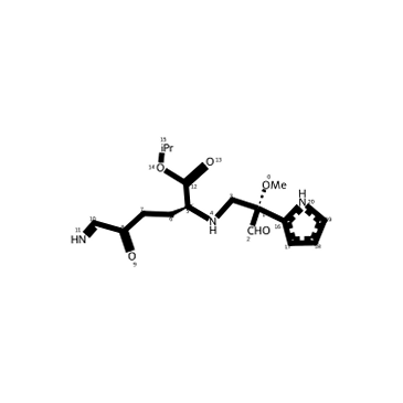 CO[C@](C=O)(CN[C@@H](CCC(=O)C=N)C(=O)OC(C)C)c1ccc[nH]1